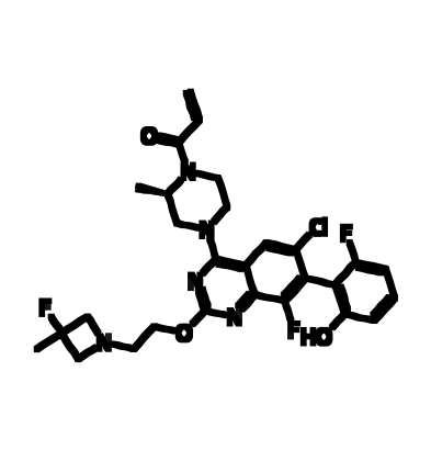 C=CC(=O)N1CCN(c2nc(OCCN3CC(C)(F)C3)nc3c(F)c(-c4c(O)cccc4F)c(Cl)cc23)C[C@H]1C